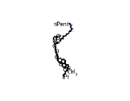 CCCCC/C=C\C/C=C\CCCCCCCCOCC(CN1CCC(OCC)C1)OCCOCCOC1CCC2(C)C(=CCC3C2CCC2(C)C3CCC2[C@H](C)CCCC(C)C)C1